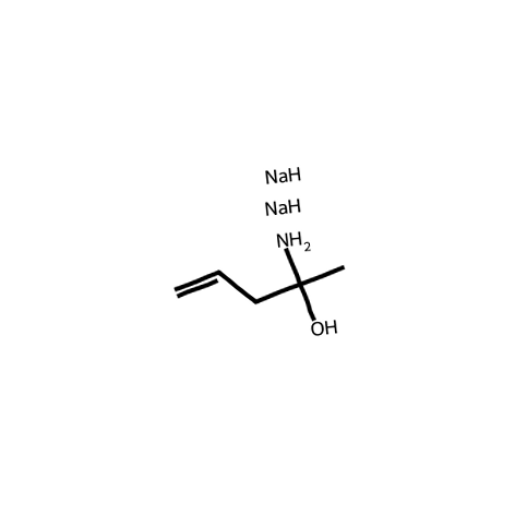 C=CCC(C)(N)O.[NaH].[NaH]